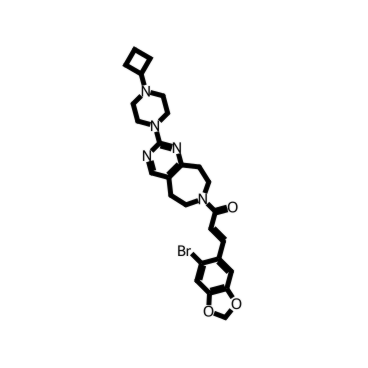 O=C(/C=C/c1cc2c(cc1Br)OCO2)N1CCc2cnc(N3CCN(C4CCC4)CC3)nc2CC1